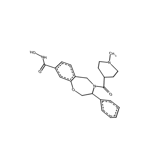 CN1CCC(C(=O)N2Cc3ccc(C(=O)NO)cc3OCC2c2ccccc2)CC1